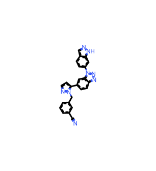 N#Cc1cccc(Cn2nccc2-c2ccc3nnn(-c4ccc5cn[nH]c5c4)c3c2)c1